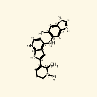 CCN1CCC=C(c2cc3c(Nc4cc5ncsc5cc4F)ccnc3s2)C1C